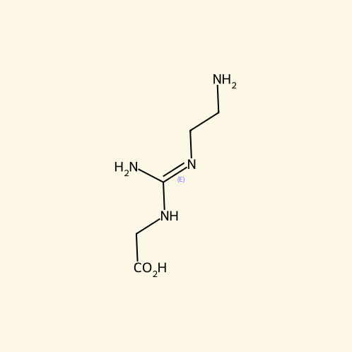 NCC/N=C(\N)NCC(=O)O